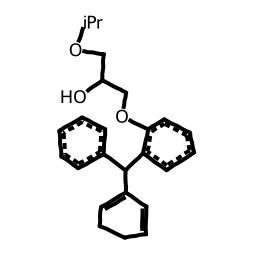 CC(C)OCC(O)COc1ccccc1C(C1=CCCC=C1)c1ccccc1